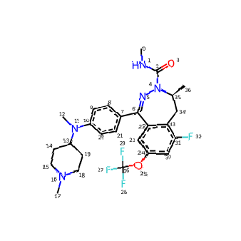 CNC(=O)N1N=C(c2ccc(N(C)C3CCN(C)CC3)cc2)c2cc(OC(F)(F)F)cc(F)c2C[C@@H]1C